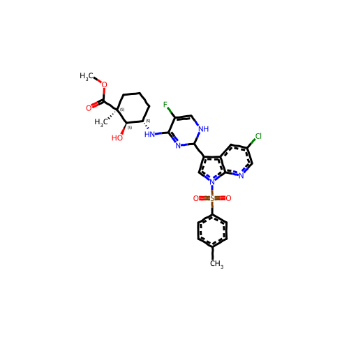 COC(=O)[C@@]1(C)CCC[C@H](NC2=NC(c3cn(S(=O)(=O)c4ccc(C)cc4)c4ncc(Cl)cc34)NC=C2F)[C@H]1O